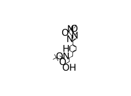 CON(C)C(=O)c1nc(-c2ccc(C[C@@H](CCO)NC(=O)OC(C)(C)C)cc2)cn1C